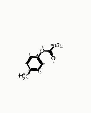 [CH2]c1ccc(OC(=O)CCCC)cc1